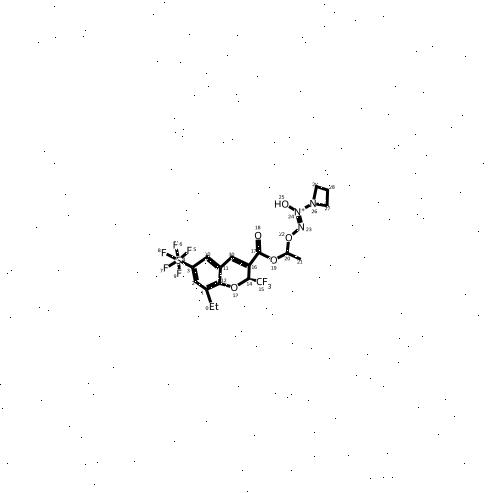 CCc1cc(S(F)(F)(F)(F)F)cc2c1O[C@H](C(F)(F)F)C(C(=O)OC(C)O/N=[N+](\O)N1CCC1)=C2